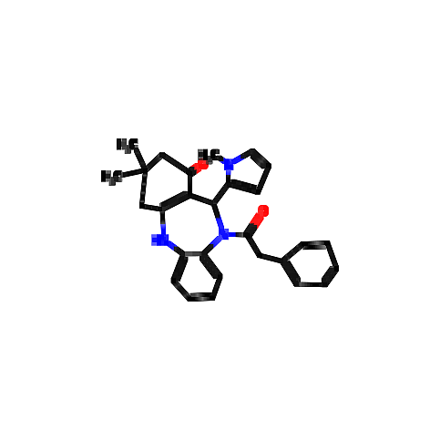 Cn1cccc1C1C2=C(CC(C)(C)CC2=O)Nc2ccccc2N1C(=O)Cc1ccccc1